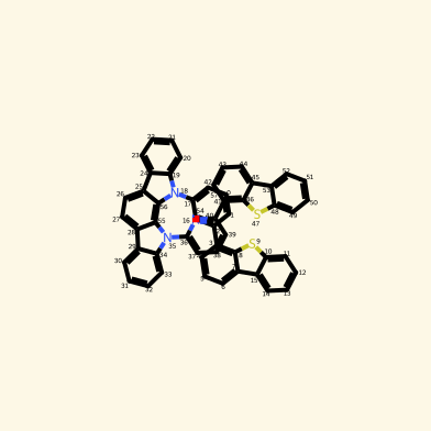 c1cc(-c2cccc3c2sc2ccccc23)cc(-n2c3ccccc3c3ccc4c5ccccc5n(-c5cccc(-c6cccc7c6sc6ccccc67)n5)c4c32)c1